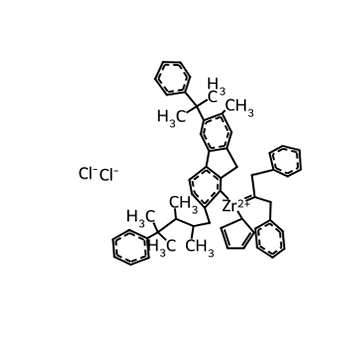 Cc1cc2c(cc1C(C)(C)c1ccccc1)-c1ccc(CC(C)C(C)C(C)(C)c3ccccc3)[c]([Zr+2](=[C](Cc3ccccc3)Cc3ccccc3)[CH]3C=CC=C3)c1C2.[Cl-].[Cl-]